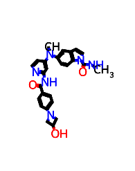 CNC(=O)n1ccc2cc(N(C)c3ccnc(NC(=O)c4ccc(N5CC(O)C5)cc4)c3)ccc21